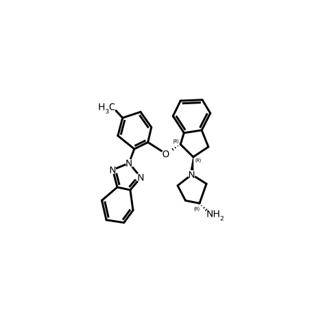 Cc1ccc(O[C@@H]2c3ccccc3C[C@H]2N2CC[C@@H](N)C2)c(-n2nc3ccccc3n2)c1